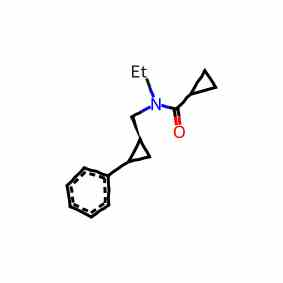 CCN(C[C@H]1CC1c1ccccc1)C(=O)C1CC1